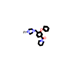 CC(C)N1CCN(Cc2ccc(C(=O)N3CCCCC3)cc2Oc2ccccc2)CC1